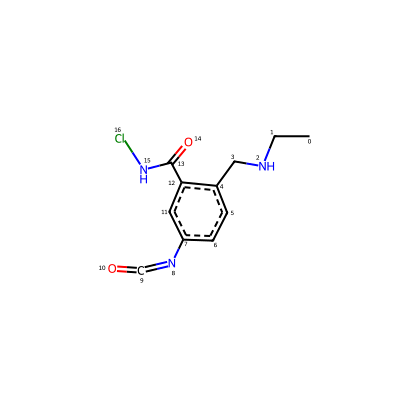 CCNCc1ccc(N=C=O)cc1C(=O)NCl